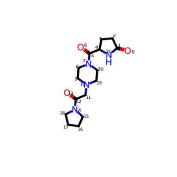 O=C1CCC(C(=O)N2CCN(CC(=O)N3CCCC3)CC2)N1